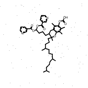 Cc1c(C)c2c(c(C)c1OC(=O)O)CC(CCCC(OC(=O)c1cccnc1)OC(=O)c1cccnc1)C(C)(CCCC(C)CCCC(C)CCCC(C)C)O2